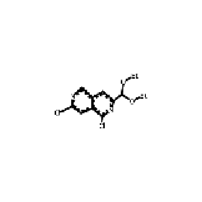 CCOC(OCC)c1cc2cnc(Cl)cc2c(Cl)n1